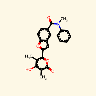 Cc1c(-c2cc3cc(C(=O)N(C)c4ccccc4)ccc3o2)oc(=O)c(C)c1O